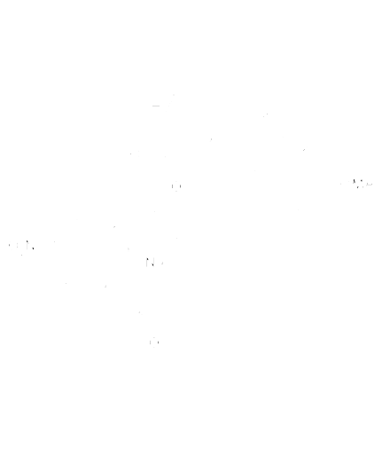 COc1ccc2cc(C(C)C(=O)OCCN(CCO)c3ccc([N+](=O)[O-])cc3)ccc2c1